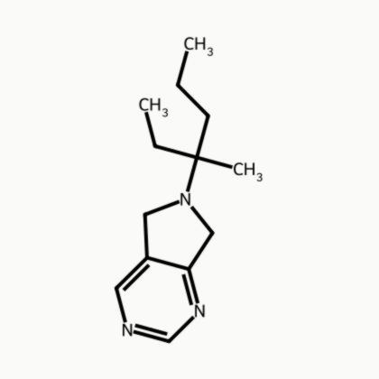 CCCC(C)(CC)N1Cc2cncnc2C1